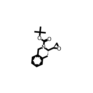 CC(C)(C)OC(=O)N1Cc2ccccc2C[C@H]1[C@H]1CO1